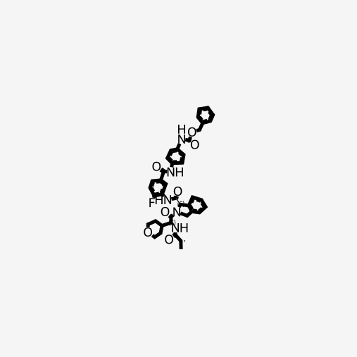 C[CH]C(=O)N[C@H](C(=O)N1Cc2ccccc2[C@H]1C(=O)Nc1cc(C(=O)Nc2ccc(NC(=O)OCc3ccccc3)cc2)ccc1F)C1CCOCC1